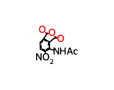 CC(=O)Nc1c([N+](=O)[O-])ccc2c1C(=O)OC2=O